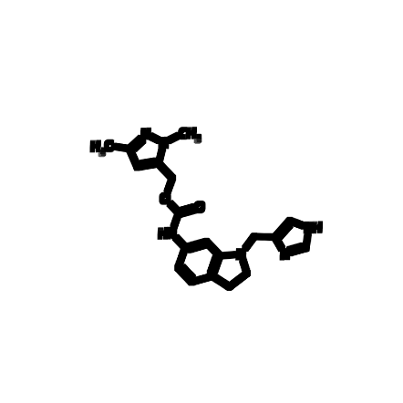 Cc1cc(COC(=O)Nc2ccc3c(c2)N(Cc2c[nH]cn2)CC3)n(C)n1